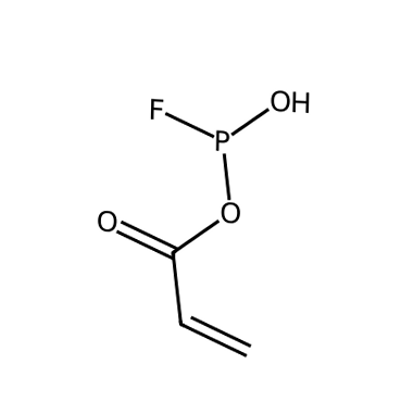 C=CC(=O)OP(O)F